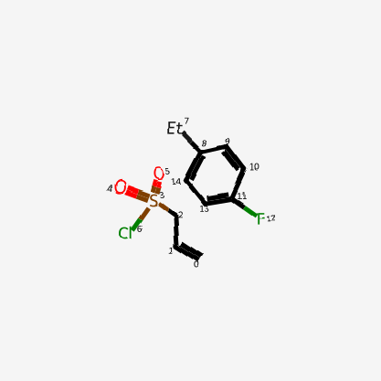 C=CCS(=O)(=O)Cl.CCc1ccc(F)cc1